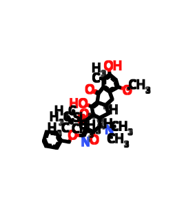 COc1cc(O)c(C)c2c1C[C@H]1C[C@H]3[C@H](N(C)C)c4onc(OCc5ccccc5)c4C(=O)[C@@]3(O[Si](C)(C)C(C)(C)C)C(O)=C1C2=O